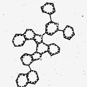 c1ccc(-c2cc(-n3c4ccc5ccccc5c4c4c5c6cccc(-c7cccc8ccccc78)c6sc5c5ccccc5c43)cc(-c3ccccc3)n2)cc1